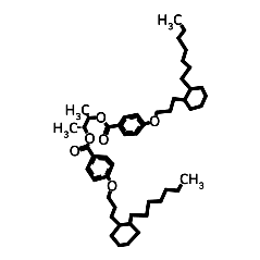 CCCCCCCC1CCCCC1CCCOc1ccc(C(=O)O[C@H](C)[C@@H](C)OC(=O)c2ccc(OCCCC3CCCCC3CCCCCCC)cc2)cc1